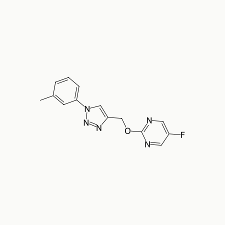 Cc1cccc(-n2cc(COc3ncc(F)cn3)nn2)c1